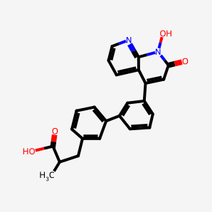 CC(Cc1cccc(-c2cccc(-c3cc(=O)n(O)c4ncccc34)c2)c1)C(=O)O